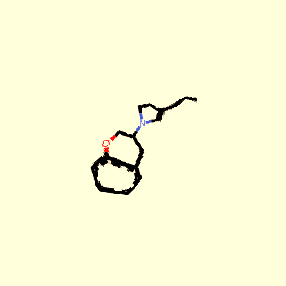 CC1CCN(C2COc3ccccc3C2)C1